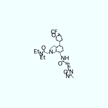 CCN(CC)C(=O)CN1CCc2c(-c3cccc(OC(F)(F)F)c3)ccc(CNC(=O)[C@H]3C[C@H]3c3nc(C)no3)c2C1